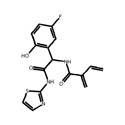 C=CC(=C)C(=O)NC(C(=O)Nc1nccs1)c1cc(F)ccc1O